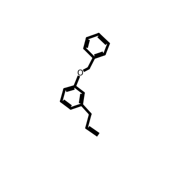 C=CCc1cccc(OCc2ccccc2)c1